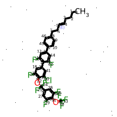 CCCC/C=C/CCc1ccc(-c2cc(F)c(-c3cc(F)c(OC(F)(F)c4cc(F)c(OC(F)(F)F)c(F)c4)c(Cl)c3)c(F)c2)cc1